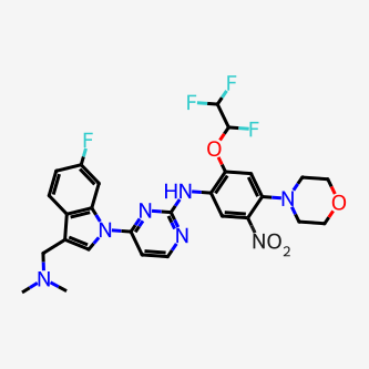 CN(C)Cc1cn(-c2ccnc(Nc3cc([N+](=O)[O-])c(N4CCOCC4)cc3OC(F)C(F)F)n2)c2cc(F)ccc12